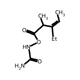 CC=C(CC)C(C)C(=O)ONC(N)=O